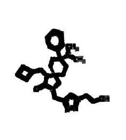 CN(C)[C@]1(c2ccccc2)CC[C@]2(CC1)CN(Cc1cn(CCO)nn1)C(=O)N2CC1CCC1